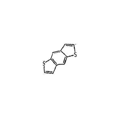 [c]1cc2cc3sccc3cc2s1